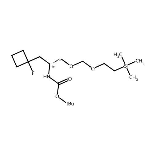 CC(C)(C)OC(=O)N[C@@H](COCOCC[Si](C)(C)C)CC1(F)CCC1